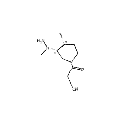 C[C@@H]1CCN(C(=O)CC#N)C[C@@H]1N(C)N